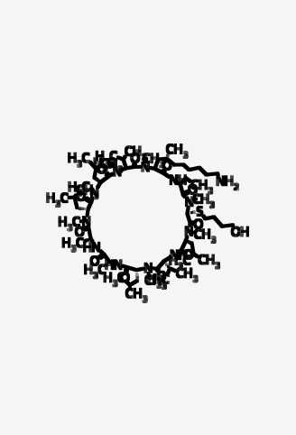 CCC1NC(=O)C(C[C@H](C)CCCCCCN)N(C)C(=O)C(C(C)C)N(C)C(=O)[C@H](CC(C)C)N(C)C(=O)[C@@H](CC(C)C)N(C)C(=O)[C@H](C)NC(=O)[C@@H](C)NC(=O)[C@@H](CC(C)C)N(C)C(=O)[C@@H](C(C)C)NC(=O)[C@H](CC(C)C)N(C)C(=O)[C@@H](SCCCCO)N(C)C1=O